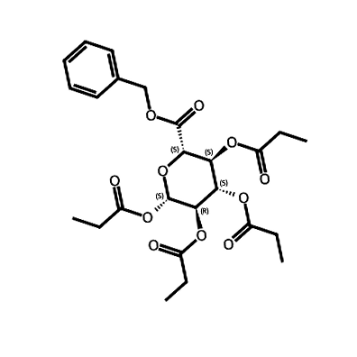 CCC(=O)O[C@@H]1O[C@H](C(=O)OCc2ccccc2)[C@@H](OC(=O)CC)[C@H](OC(=O)CC)[C@H]1OC(=O)CC